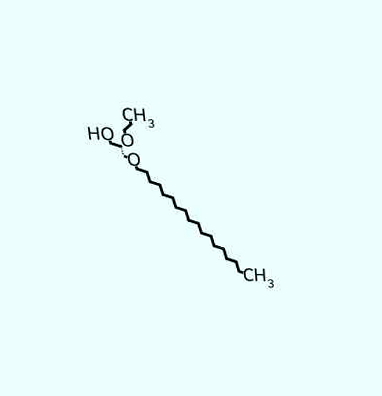 CCCCCCCCCCCCCCCCCCOC[C@H](CO)OCCC